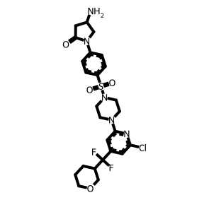 NC1CC(=O)N(c2ccc(S(=O)(=O)N3CCN(c4cc(C(F)(F)C5CCCOC5)cc(Cl)n4)CC3)cc2)C1